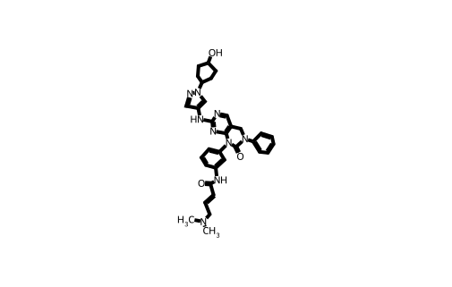 CN(C)C/C=C/C(=O)Nc1cccc(N2C(=O)N(c3ccccc3)Cc3cnc(Nc4cnn(C5CCC(O)CC5)c4)nc32)c1